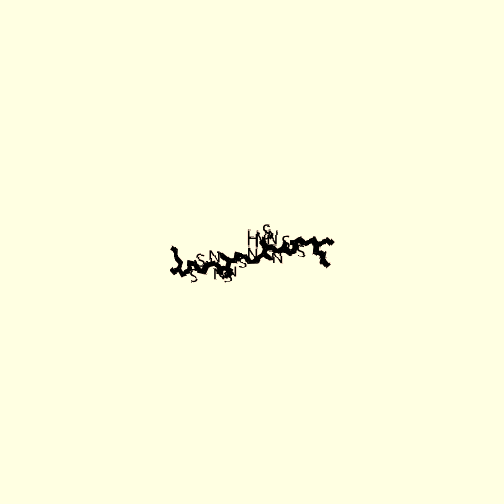 CCCCC(CC)Cc1cc2sc(-c3ncc(-c4cc5sc(-c6cnc(-c7cc8sc(CC(CC)CCCC)cc8s7)c7nsnc67)cc5[nH]4)c4nsnc34)cc2s1